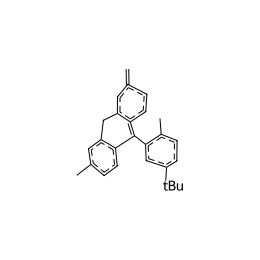 C=c1ccc2c(c1)Cc1cc(C)ccc1C=2c1cc(C(C)(C)C)ccc1C